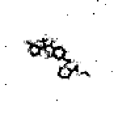 CCOC(=O)C1CCCCN1C(=O)c1ccc(C(C)C(O)(c2ccnc(Cl)c2)C(F)(F)F)c(Cl)c1